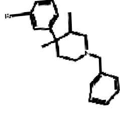 CC1CN(Cc2ccccc2)CCC1(C)c1cccc(Br)c1